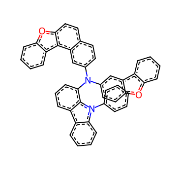 c1ccc(-n2c3ccccc3c3cccc(N(c4ccc5oc6ccccc6c5c4)c4ccc5ccc6oc7ccccc7c6c5c4)c32)cc1